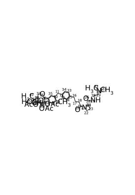 CC(=O)O[C@@H]1[C@@H](OC(C)=O)[C@@]2(c3ccc(C)c(Cc4ccc(CCCC(=O)N5CC[C@H]5C(=O)NCCN(C)C)cc4)c3)OC[C@](C(C)(C)O)(O2)[C@H]1OC(C)=O